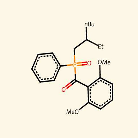 CCCCC(CC)CP(=O)(C(=O)c1c(OC)cccc1OC)c1ccccc1